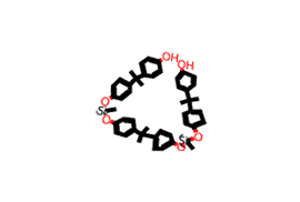 CC(C)(c1ccc(O)cc1)c1ccc(O[Si](C)(C)Oc2ccc(C(C)(C)c3ccc(O[Si](C)(C)Oc4ccc(C(C)(C)c5ccc(O)cc5)cc4)cc3)cc2)cc1